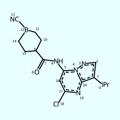 CC(C)c1cnn2c(NC(=O)C3CCB(C#N)CC3)cc(Cl)nc12